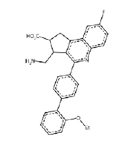 CCOc1ccccc1-c1ccc(-c2nc3ccc(F)cc3c3c2C(CN)C(C(=O)O)C3)cc1